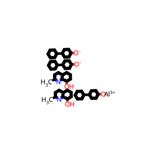 Cc1ccc2cccc(O)c2n1.Cc1ccc2cccc(O)c2n1.[Al+3].[O-]c1ccc(-c2ccccc2)cc1.[O-]c1ccc(-c2ccccc2)cc1.[O-]c1ccc(-c2ccccc2)cc1